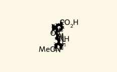 COc1cc(-c2cc(C(=O)N3CCC(C(=O)O)CC34CC4)n[nH]2)c(F)cn1